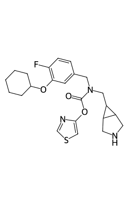 O=C(Oc1cscn1)N(Cc1ccc(F)c(OC2CCCCC2)c1)CC1C2CNCC21